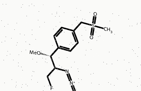 CO[C@H](c1ccc(CS(C)(=O)=O)cc1)C(CF)N=[N+]=[N-]